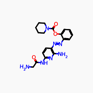 NCC(=O)Nc1ccc(/N=N/c2ccccc2OC(=O)N2CCCCC2)c(N)n1